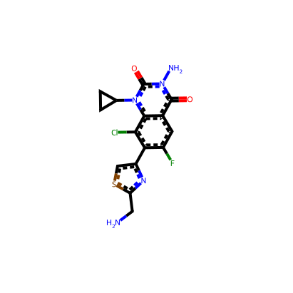 NCc1nc(-c2c(F)cc3c(=O)n(N)c(=O)n(C4CC4)c3c2Cl)cs1